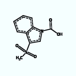 CS(=O)(=O)c1cn(C(=O)O)c2ccccc12